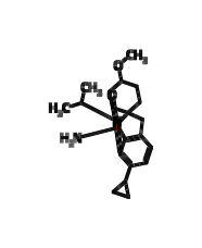 COC1CCC2(CC1)Cc1ccc(C3CC3)cc1C21N=C(N)N(C(C)C)C1=O